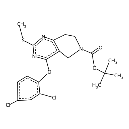 CSc1nc2c(c(Oc3ccc(Cl)cc3Cl)n1)CN(C(=O)OC(C)(C)C)CC2